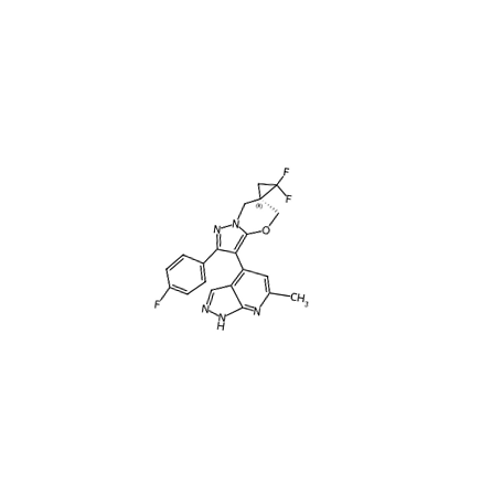 Cc1cc(-c2c(-c3ccc(F)cc3)nn3c2OC[C@]2(C3)CC2(F)F)c2cn[nH]c2n1